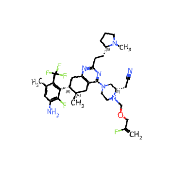 C=C(F)COCN1CCN(c2nc(CC[C@@H]3CCCN3C)nc3c2C[C@@H](C)[C@H](c2c(F)c(N)cc(C)c2C(F)(F)F)C3)C[C@@H]1CC#N